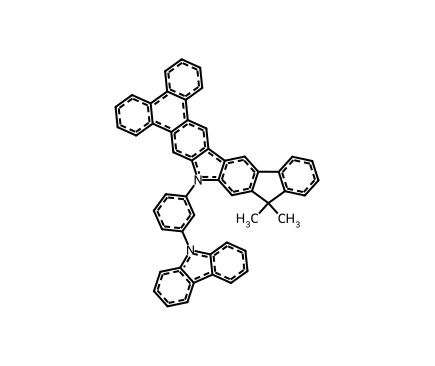 CC1(C)c2ccccc2-c2cc3c4cc5c6ccccc6c6ccccc6c5cc4n(-c4cccc(-n5c6ccccc6c6ccccc65)c4)c3cc21